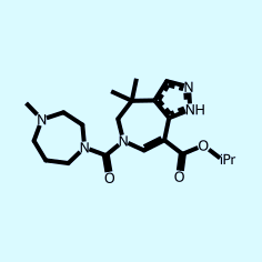 CC(C)OC(=O)C1=CN(C(=O)N2CCCN(C)CC2)CC(C)(C)c2cn[nH]c21